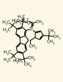 CCC1C=C(C(C)(C)C)C=[C]1[Zr](=[C](C)C)[c]1c2c(cc(C(C)(C)C)c1C(C)(C)C)-c1cc(C(C)(C)C)c(C(C)(C)C)cc1C2